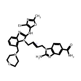 CCc1nc(C)oc1Nc1nc2cccc(CN3CCOCC3)c2n1C/C=C/Cn1c(N)nc2cc(C(N)=O)ccc21